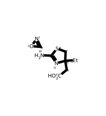 C1=NO1.CCC1(CC(=O)O)CSC(N)=N1